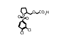 O=C(O)COCC1CCCN1S(=O)(=O)c1ccc(Cl)c(Cl)c1